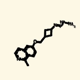 Cc1nccc2cc(OCC3CC(/N=P/PP)C3)ccc12